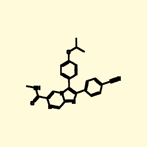 CNC(=O)c1cn2c(-c3ccc(OC(C)C)cc3)c(-c3ccc(C#N)cc3)nc2cn1